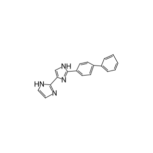 c1ccc(-c2ccc(-c3nc(-c4ncc[nH]4)c[nH]3)cc2)cc1